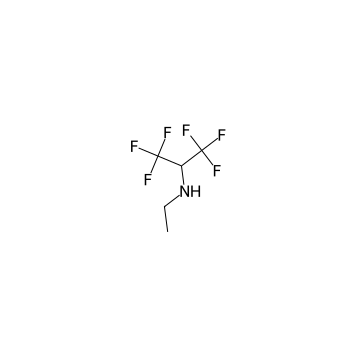 CCNC(C(F)(F)F)C(F)(F)F